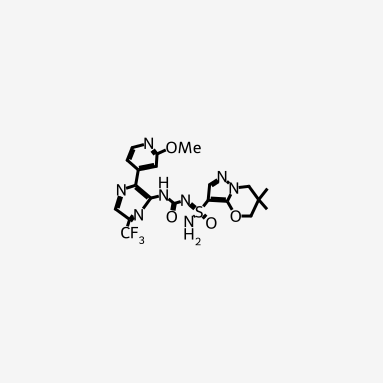 COc1cc(-c2ncc(C(F)(F)F)nc2NC(=O)N=S(N)(=O)c2cnn3c2OCC(C)(C)C3)ccn1